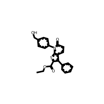 CCOC(=O)c1sc2c(ccc(=O)n2-c2ccc(CO)cc2)c1-c1ccccc1